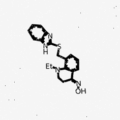 CCN1CCC(=NO)c2cccc(CSc3nc4ccccc4[nH]3)c21